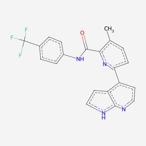 Cc1ccc(-c2ccnc3[nH]ccc23)nc1C(=O)Nc1ccc(C(F)(F)F)cc1